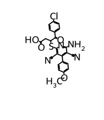 COc1ccc(-c2c(C#N)c(N)nc(SC(CC(=O)O)C(=O)c3ccc(Cl)cc3)c2C#N)cc1